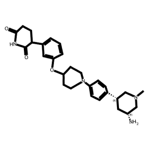 CN1C[C@H](N)C[C@H](c2ccc(N3CCC(Oc4cccc(C5CCC(=O)NC5=O)c4)CC3)cc2)C1